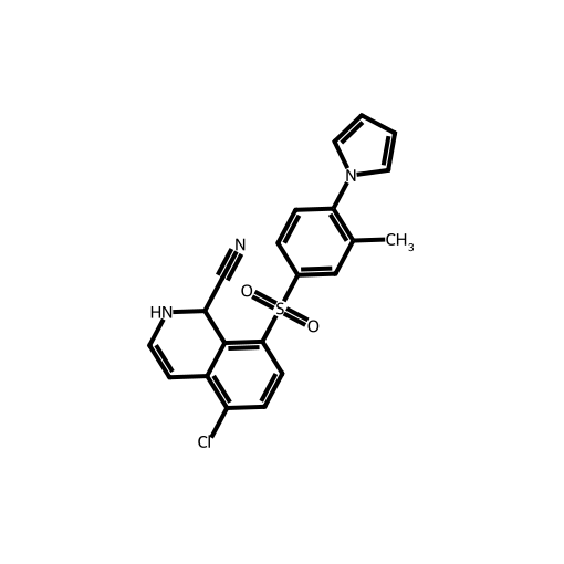 Cc1cc(S(=O)(=O)c2ccc(Cl)c3c2C(C#N)NC=C3)ccc1-n1cccc1